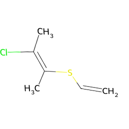 C=CS/C(C)=C(\C)Cl